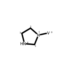 [V][N]1CCNC1